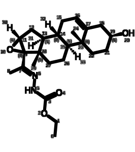 CCOC(=O)NN=C(C)[C@@]12O[C@@H]1C[C@H]1[C@@H]3CC=C4C[C@@H](O)CC[C@]4(C)[C@H]3CC[C@@]12C